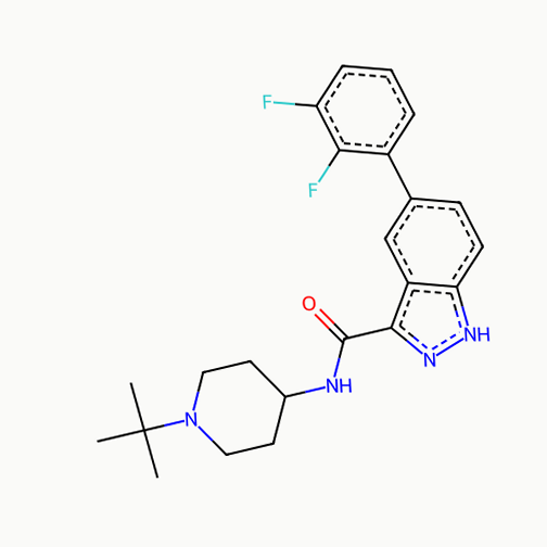 CC(C)(C)N1CCC(NC(=O)c2n[nH]c3ccc(-c4cccc(F)c4F)cc23)CC1